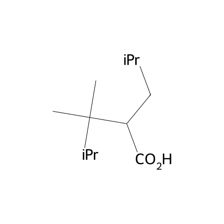 CC(C)CC(C(=O)O)C(C)(C)C(C)C